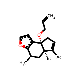 C=CCO[C@]12CC=C(C(C)=O)[C@@]1(CC)C[C@@H](C)c1occc12